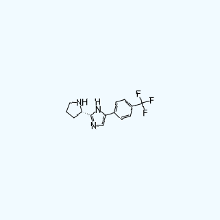 FC(F)(F)c1ccc(-c2cnc([C@@H]3CCCN3)[nH]2)cc1